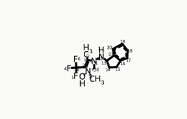 CC1=C(C(F)(F)F)[N+](C)(O)[CH]N1NC1CCc2ccccc21